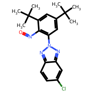 CC(C)(C)c1cc(-n2nc3ccc(Cl)cc3n2)c(N=O)c(C(C)(C)C)c1